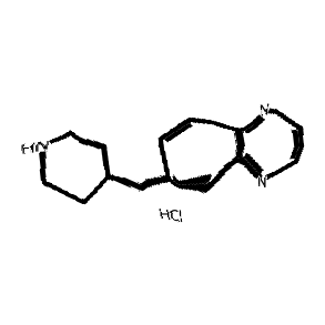 Cl.c1cnc2cc(CC3CCNCC3)ccc2n1